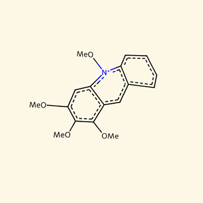 COc1cc2c(cc3ccccc3[n+]2OC)c(OC)c1OC